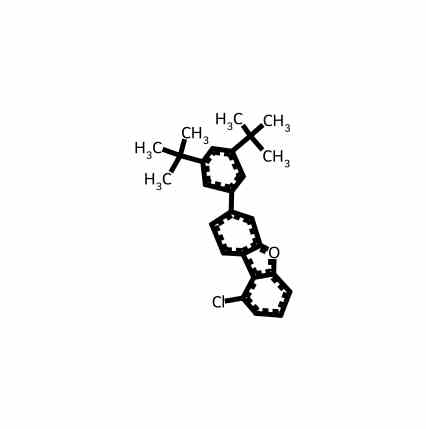 CC(C)(C)c1cc(-c2ccc3c(c2)oc2cccc(Cl)c23)cc(C(C)(C)C)c1